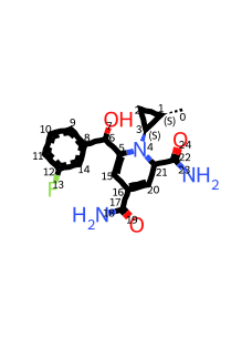 C[C@H]1C[C@@H]1N1C(C(O)c2cccc(F)c2)=CC(C(N)=O)=CC1C(N)=O